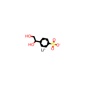 O=S(=O)([O-])c1ccc(C(O)CO)cc1.[Li+]